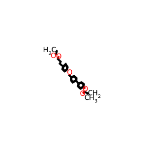 C=CC(=O)OCCCc1ccc(OCc2ccc(-c3ccc(OC(=O)C(=C)C)cc3)cc2)cc1